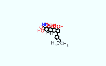 CC(C)Cc1cccc(-c2ccc(O)c3c2C[C@H]2C[C@H]4CC(O)=C(C(N)=O)C(=O)[C@@]4(O)C(O)=C2C3=O)c1